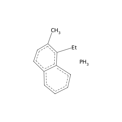 CCc1c(C)ccc2ccccc12.P